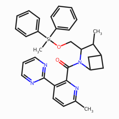 Cc1ccc(-c2ncccn2)c(C(=O)N2C3CC(C3)C(C)C2CO[Si](C)(c2ccccc2)c2ccccc2)n1